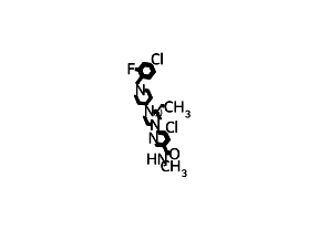 CC[C@H]1CN(c2ncc(C(=O)NC)cc2Cl)CCN1C1CCN(Cc2ccc(Cl)cc2F)CC1